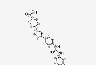 O=C(Nc1ccc(-c2cnc(C3CCC(C(=O)O)CC3)s2)cc1)Nc1cccc(Cl)c1